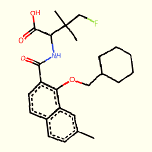 Cc1ccc2ccc(C(=O)NC(C(=O)O)C(C)(C)CF)c(OCC3CCCCC3)c2c1